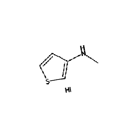 CNc1ccsc1.I